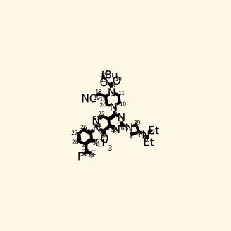 CCN(CC)C1CN(c2nc(N3CCN(C(=O)OC(C)(C)C)C(CC#N)C3)c3cnn(-c4cccc(C(F)F)c4C(F)(F)F)c(=O)c3n2)C1